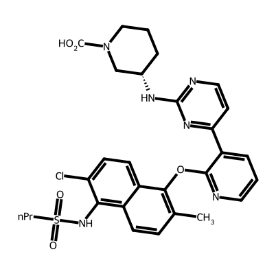 CCCS(=O)(=O)Nc1c(Cl)ccc2c(Oc3ncccc3-c3ccnc(N[C@H]4CCCN(C(=O)O)C4)n3)c(C)ccc12